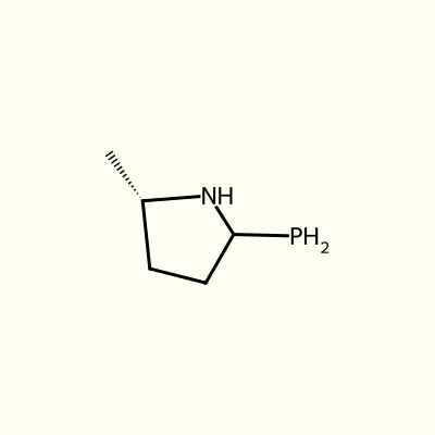 C[C@H]1CCC(P)N1